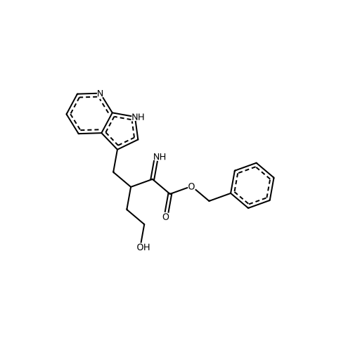 N=C(C(=O)OCc1ccccc1)C(CCO)Cc1c[nH]c2ncccc12